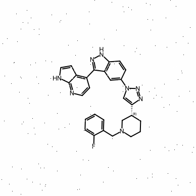 Fc1ccccc1CN1CCC[C@@H](c2cn(-c3ccc4[nH]nc(-c5ccnc6[nH]ccc56)c4c3)nn2)C1